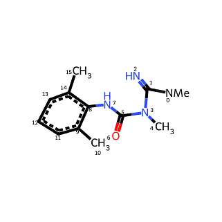 CNC(=N)N(C)C(=O)Nc1c(C)cccc1C